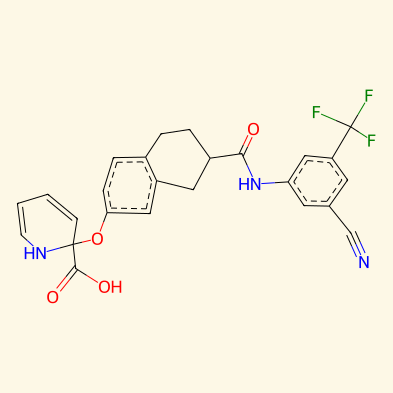 N#Cc1cc(NC(=O)C2CCc3ccc(OC4(C(=O)O)C=CC=CN4)cc3C2)cc(C(F)(F)F)c1